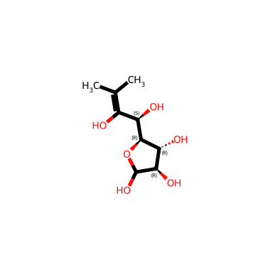 CC(C)=C(O)[C@@H](O)[C@@H]1OC(O)[C@H](O)[C@H]1O